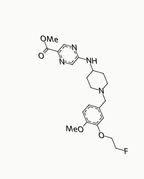 COC(=O)c1cnc(NC2CCN(Cc3ccc(OC)c(OCCF)c3)CC2)cn1